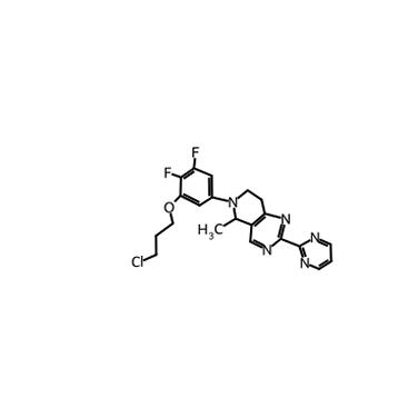 CC1c2cnc(-c3ncccn3)nc2CCN1c1cc(F)c(F)c(OCCCCl)c1